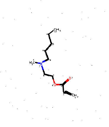 C=CC(=O)OCCN(C)CCCCC